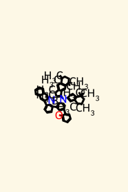 CC1(C)CCC(C)(C)c2cc(N3C4=C(B5c6c3cc3c(oc7ccccc73)c6-c3cccc6c7cc8ccccc8cc7n5c36)C(C)(C)c3cc5c(cc34)C(C)(C)CCC5(C)C)ccc21